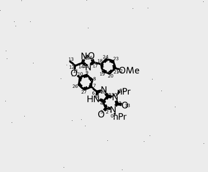 CCCn1c(=O)c2[nH]c(-c3ccc(OC(C)c4noc(-c5ccc(OC)cc5)n4)cc3)nc2n(CCC)c1=O